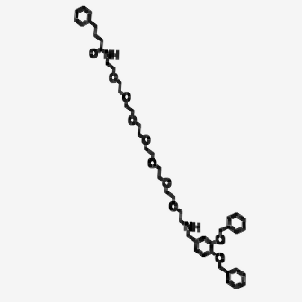 O=C(CCCc1ccccc1)NCCOCCOCCOCCOCCOCCOCCOCCNCc1ccc(OCc2ccccc2)c(OCc2ccccc2)c1